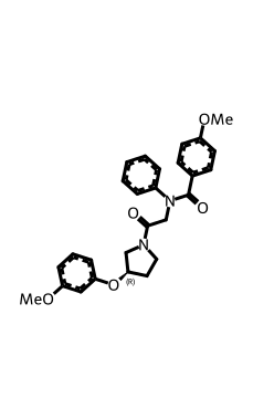 COc1ccc(C(=O)N(CC(=O)N2CC[C@@H](Oc3cccc(OC)c3)C2)c2ccccc2)cc1